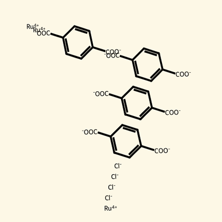 O=C([O-])c1ccc(C(=O)[O-])cc1.O=C([O-])c1ccc(C(=O)[O-])cc1.O=C([O-])c1ccc(C(=O)[O-])cc1.O=C([O-])c1ccc(C(=O)[O-])cc1.[Cl-].[Cl-].[Cl-].[Cl-].[Ru+4].[Ru+4].[Ru+4]